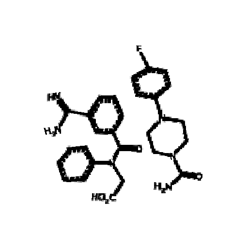 N=C(N)c1cccc(C(=O)N(CC(=O)O)c2ccccc2)c1.NC(=O)N1CCN(c2ccc(F)cc2)CC1